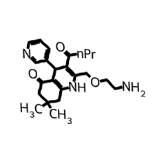 CCCC(=O)C1=C(COCCN)NC2=C(C(=O)CC(C)(C)C2)C1c1cccnc1